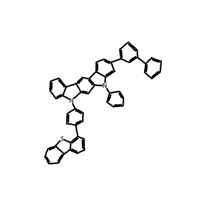 c1ccc(-c2cccc(-c3ccc4c5cc6c7ccccc7n(-c7ccc(-c8cccc9c8sc8ccccc89)cc7)c6cc5n(-c5ccccc5)c4c3)c2)cc1